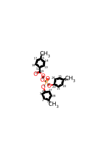 Cc1ccc(OP(=O)(OOC(=O)c2ccc(C)cc2)Oc2ccc(C)cc2)cc1